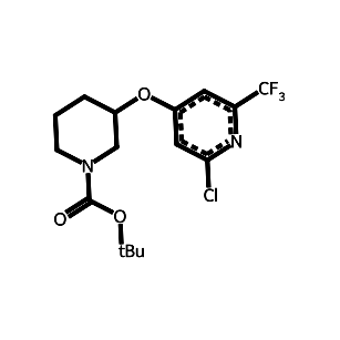 CC(C)(C)OC(=O)N1CCCC(Oc2cc(Cl)nc(C(F)(F)F)c2)C1